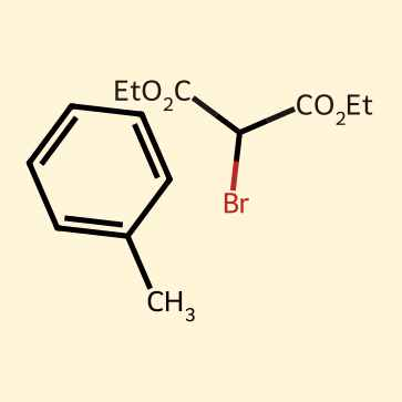 CCOC(=O)C(Br)C(=O)OCC.Cc1ccccc1